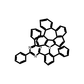 c1ccc(-c2nc(-c3ccccc3)nc(-c3cccc(-c4ccccc4)c3-n3c4cccc5c4c4c6c(cccc6ccc43)-c3ccccc3-5)n2)cc1